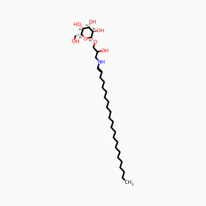 CCCCCCCCCCCCCCCCCCCCCCC=CNCC(O)CO[C@@H]1O[C@H](CO)[C@H](O)[C@H](O)[C@H]1O